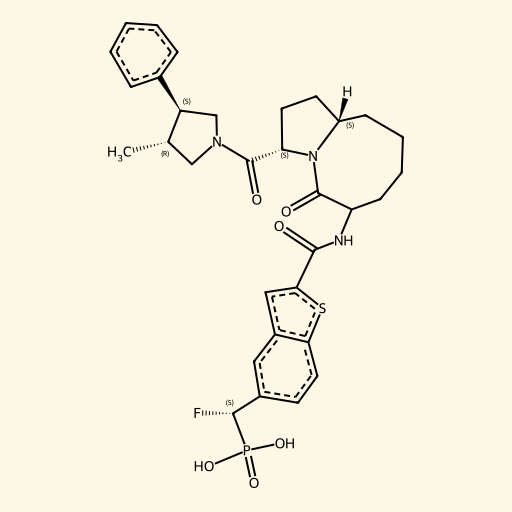 C[C@H]1CN(C(=O)[C@@H]2CC[C@@H]3CCCCC(NC(=O)c4cc5cc([C@@H](F)P(=O)(O)O)ccc5s4)C(=O)N32)C[C@@H]1c1ccccc1